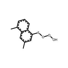 Cc1cc(SOOO)c2cccc(C)c2c1